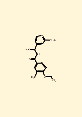 CC(=O)Nc1cc(C(C)NC(=O)c2cc(C)c(OCC(F)(F)F)cn2)ccn1